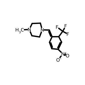 CN1CCN(C=C2C=CC([N+](=O)[O-])=CC2C(F)(F)F)CC1